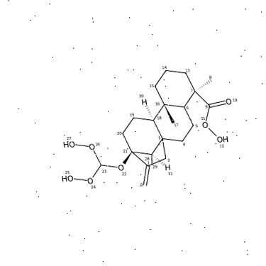 C=C1CC23CCC4[C@](C)(C(=O)OO)CCC[C@@]4(C)[C@@H]2CC[C@]1(OC(OO)OO)[C@@H]3C